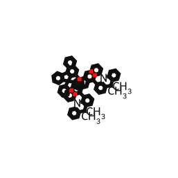 CC1(C)c2ccccc2N(c2ccccc2)c2c(-c3cccc4c(-c5cc6ccccc6c6c5C5(c7ccccc7-c7ccccc75)c5ccccc5-6)c5cccc(-c6cccc7c6N(c6ccccc6)c6ccccc6C7(C)C)c5cc34)cccc21